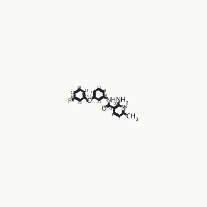 Cc1ccc(C(=O)Nc2cccc(Oc3cccc(F)c3)c2)c(N)n1